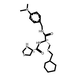 CN(C)c1ccc(CNC(=O)[C@H](CSCC2CCCCC2)NC(=O)[C@@H]2CSCN2)cc1